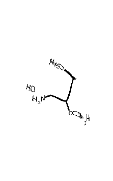 COCC(N)C(=O)O.Cl